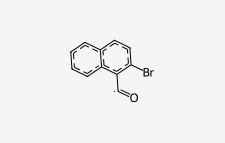 O=[C]c1c(Br)ccc2ccccc12